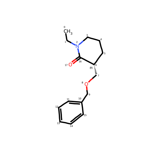 CCN1CCC[C@H](COCc2ccccc2)C1=O